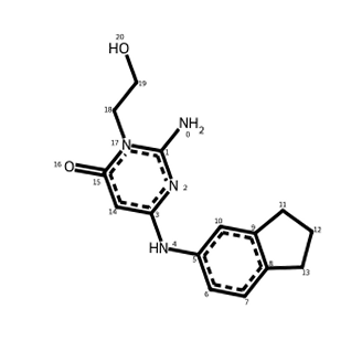 Nc1nc(Nc2ccc3c(c2)CCC3)cc(=O)n1CCO